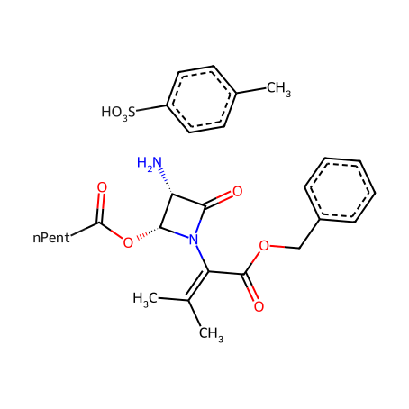 CCCCCC(=O)O[C@@H]1[C@H](N)C(=O)N1C(C(=O)OCc1ccccc1)=C(C)C.Cc1ccc(S(=O)(=O)O)cc1